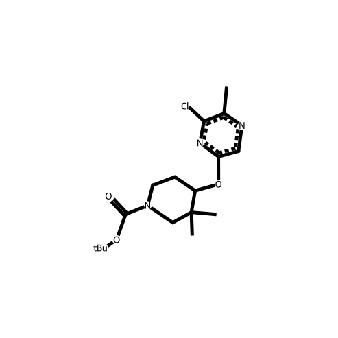 Cc1ncc(OC2CCN(C(=O)OC(C)(C)C)CC2(C)C)nc1Cl